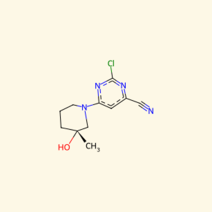 C[C@@]1(O)CCCN(c2cc(C#N)nc(Cl)n2)C1